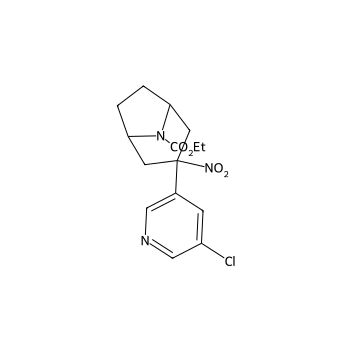 CCOC(=O)N1C2CCC1CC(c1cncc(Cl)c1)([N+](=O)[O-])C2